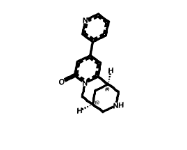 O=c1cc(-c2cccnc2)cc2n1C[C@@H]1CNC[C@H]2C1